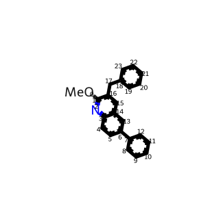 COc1nc2ccc(-c3ccccc3)cc2cc1Cc1ccccc1